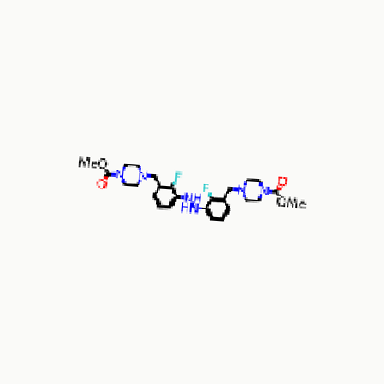 COC(=O)N1CCN(Cc2cccc(NNc3cccc(CN4CCN(C(=O)OC)CC4)c3F)c2F)CC1